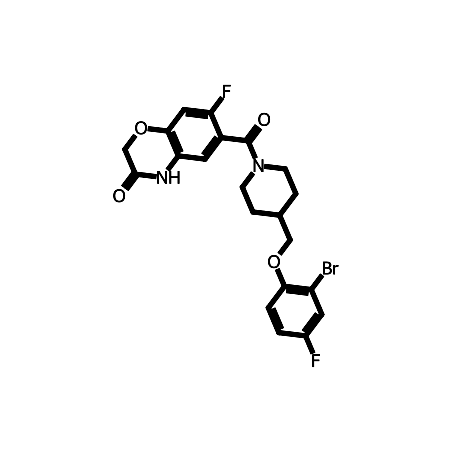 O=C1COc2cc(F)c(C(=O)N3CCC(COc4ccc(F)cc4Br)CC3)cc2N1